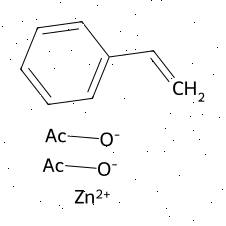 C=Cc1ccccc1.CC(=O)[O-].CC(=O)[O-].[Zn+2]